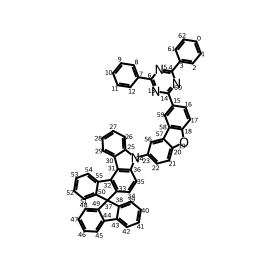 c1ccc(-c2nc(-c3ccccc3)nc(-c3ccc4oc5ccc(-n6c7ccccc7c7c8c(ccc76)C6(c7ccccc7-c7ccccc76)c6ccccc6-8)cc5c4c3)n2)cc1